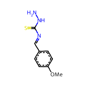 COc1ccc(/C=N/C(=S)NN)cc1